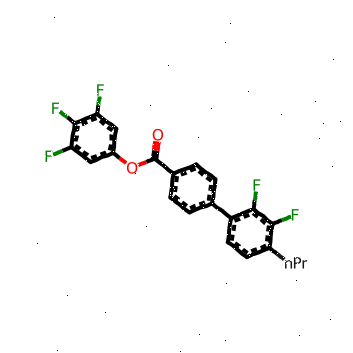 CCCc1ccc(-c2ccc(C(=O)Oc3cc(F)c(F)c(F)c3)cc2)c(F)c1F